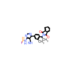 Cc1cc(-c2ncnc(NPI)c2C=N)ccc1C(C)N1C(=O)c2ccccc2C1=O